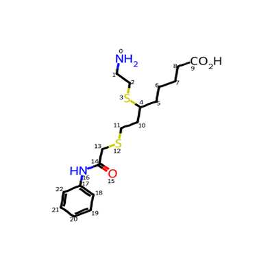 NCCSC(CCCCC(=O)O)CCSCC(=O)Nc1ccccc1